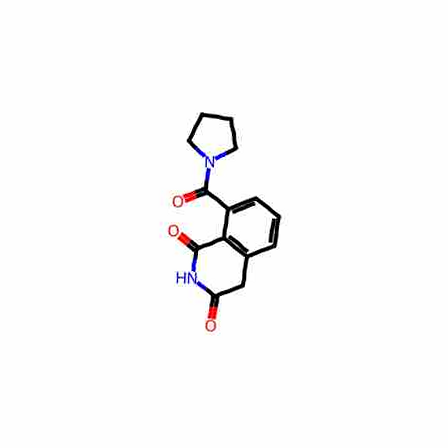 O=C1Cc2cccc(C(=O)N3CCCC3)c2C(=O)N1